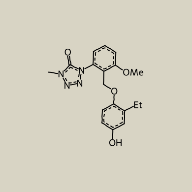 CCc1cc(O)ccc1OCc1c(OC)cccc1-n1nnn(C)c1=O